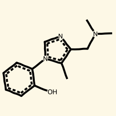 Cc1c(CN(C)C)ncn1-c1ccccc1O